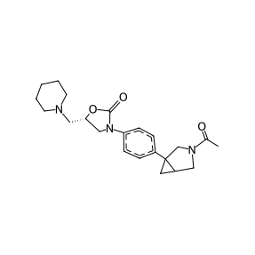 CC(=O)N1CC2CC2(c2ccc(N3C[C@H](CN4CCCCC4)OC3=O)cc2)C1